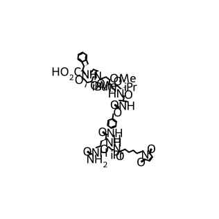 CC[C@H](C)[C@@H]([C@@H](CC(=O)N1CCC[C@H]1[C@H](OC)[C@@H](C)C(=O)N[C@H](C(=O)O)[C@H]1Cc2ccccc21)OC)N(C)C(=O)[C@@H](NC(=O)C(C)(C)NC(=O)OCc1ccc(NC(=O)[C@H](CCCNC(N)=O)NC(=O)[C@@H](NC(=O)CCCCCN2C(=O)C=CC2=O)C(C)C)cc1)C(C)C